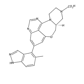 Cc1ccc2[nH]ncc2c1-c1cc2c3c(ncnc3c1)N1CCN(C(=O)O)C[C@H]1CO2